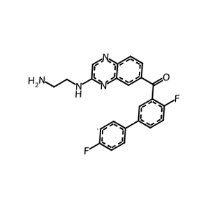 NCCNc1cnc2ccc(C(=O)c3cc(-c4c[c]c(F)cc4)ccc3F)cc2n1